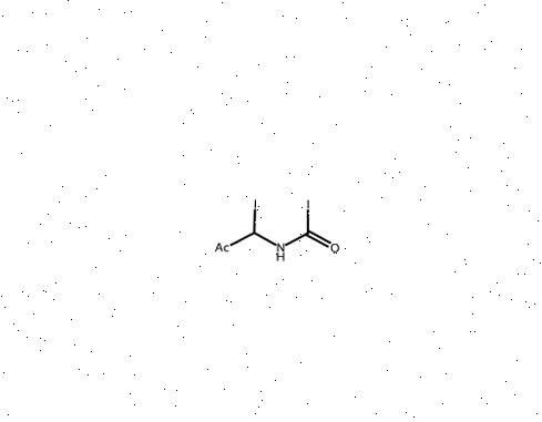 CC(=O)C(I)NC(=O)I